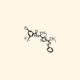 CC(=NOc1ccccc1)n1cnc(C(C)NC(=O)c2cc(Cl)cc(C(F)(F)F)c2)n1